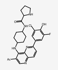 CC(=O)c1cnc2ccc(-c3cc(F)c(O)c(Cl)c3)nc2c1NC1CCC(NC(=O)C2CCCN2)CC1